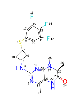 Cc1nc(N[C@H]2C[C@@H](Sc3cc(F)c(F)c(F)c3)C2)nc2c1NC(=O)[C@H](C)N2C